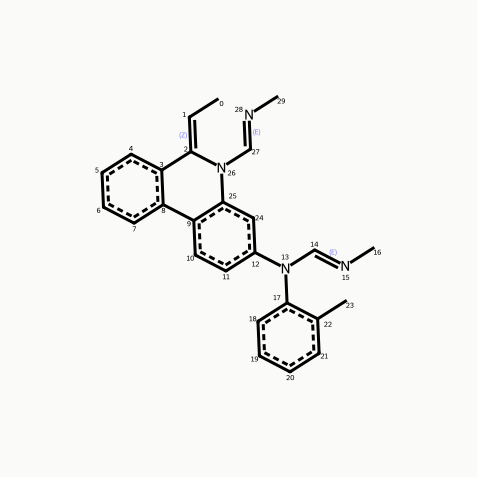 C/C=C1/c2ccccc2-c2ccc(N(/C=N/C)c3ccccc3C)cc2N1/C=N/C